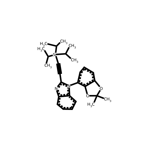 CC(C)[Si](C#Cc1nc2ccccc2n1-c1cccc2c1OC(C)(C)O2)(C(C)C)C(C)C